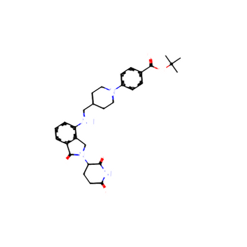 CC(C)(C)OC(=O)c1ccc(N2CCC(CNc3cccc4c3CN(C3CCC(=O)NC3=O)C4=O)CC2)cc1